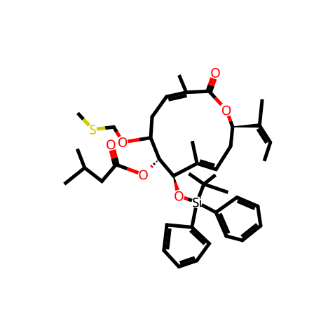 C/C=C(/C)[C@H]1C/C=C(\C)[C@@H](O[Si](c2ccccc2)(c2ccccc2)C(C)(C)C)[C@H](OC(=O)CC(C)C)C(OCSC)C/C=C(/C)C(=O)O1